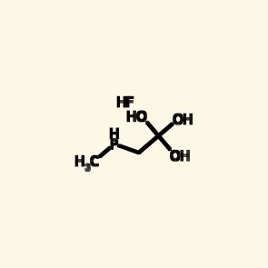 CPCC(O)(O)O.F